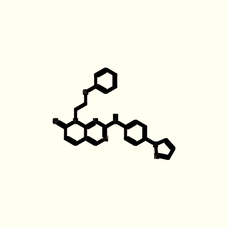 O=c1ccc2cnc(Nc3ccc(-n4cccn4)cc3)nc2n1CCOc1ccccc1